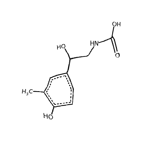 Cc1cc(C(O)CNC(=O)O)ccc1O